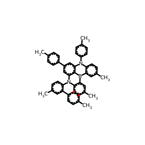 Cc1ccc(-c2cc3c4c(c2)N(c2ccc(C)cc2-c2ccc(C)cc2)c2ccc(C)cc2B4c2cc(C)ccc2N3c2ccc(C)cc2)cc1